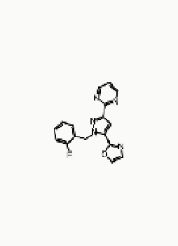 Fc1ccccc1Cn1nc(-c2ncccn2)cc1-c1ncco1